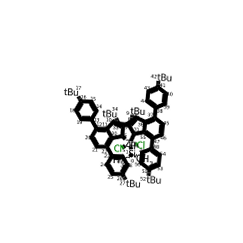 C[SiH](C)[Zr]([Cl])([Cl])([CH]1C(CC(C)(C)C)=Cc2c(-c3ccc(C(C)(C)C)cc3)ccc(-c3ccc(C(C)(C)C)cc3)c21)[CH]1C(CC(C)(C)C)=Cc2c(-c3ccc(C(C)(C)C)cc3)ccc(-c3ccc(C(C)(C)C)cc3)c21